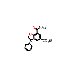 CCOC(=O)c1cc(C(=O)NC)c2c(c1)[C@@H](c1ccccc1)CO2